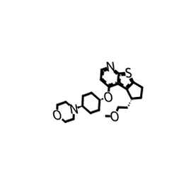 COCC[C@H]1CCc2sc3nccc(O[C@H]4CC[C@H](N5CCOCC5)CC4)c3c21